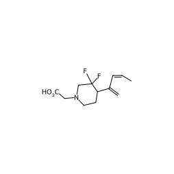 C=C(/C=C\C)C1CCN(CC(=O)O)CC1(F)F